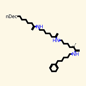 C=C(CCCCCCCCCCCCCCC)NCCCCCC(=C)NCCCC[C@H](C)C(=C)NCCCCCC1=CCCC=C1